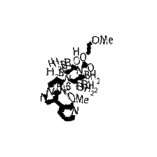 BC1(B)N(c2ccn3ncc(-c4cccnc4OC)c3n2)C(B)(B)C(B)(O)N(C(=O)OCCOC)C1(B)B